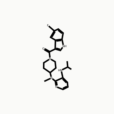 CC(C)Nc1cccnc1N(C)C1CCN(C(=O)c2c[nH]c3ccc(F)cc23)CC1